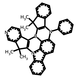 CC1(C)C2=C(c3ccccc31)N(c1ccccc1)c1ccc3c4ccccc4n4c3c1B2C1=C4C(C)(C)c2cnccc21